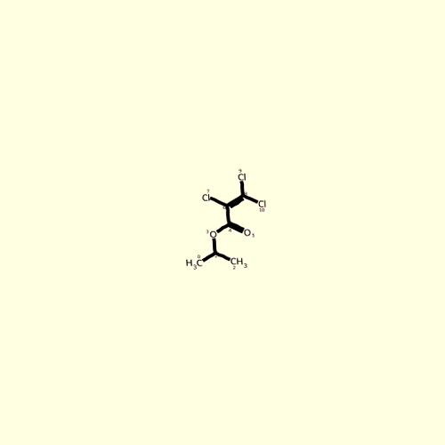 CC(C)OC(=O)C(Cl)=C(Cl)Cl